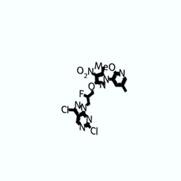 COc1ncc(C)cc1-n1nc(OCC(F)Cn2nc(Cl)c3cnc(Cl)nc32)c([N+](=O)[O-])c1C